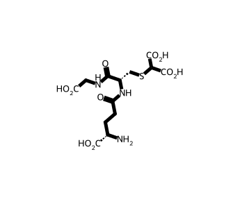 N[C@@H](CCC(=O)N[C@@H](CSC(C(=O)O)C(=O)O)C(=O)NCC(=O)O)C(=O)O